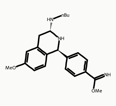 CCCCN[C@H]1Cc2cc(OC)ccc2[C@H](c2ccc(C(=N)OC)cc2)N1